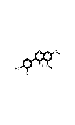 COc1cc(OC)c2c(=P)c(-c3ccc(O)c(O)c3)coc2c1